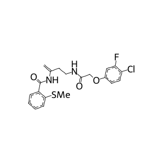 C=C(CCNC(=O)COc1ccc(Cl)c(F)c1)NC(=O)c1ccccc1SC